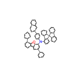 c1ccc(-c2cc(N(c3ccc(-c4ccc5ccccc5c4)cc3)c3cccc4c3-c3ccccc3C43c4ccccc4-c4ccccc43)c3oc4c(-c5ccccc5)cccc4c3c2)cc1